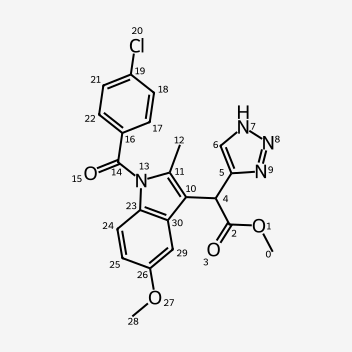 COC(=O)C(c1c[nH]nn1)c1c(C)n(C(=O)c2ccc(Cl)cc2)c2ccc(OC)cc12